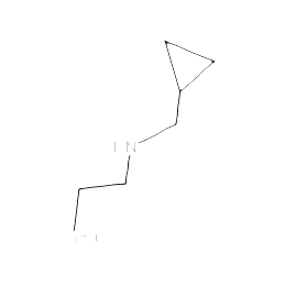 CCCCCCNCC1CC1